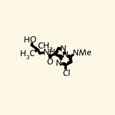 CNc1cc(Cl)nc2c(C(=O)NCC(C)(C)CO)cnn12